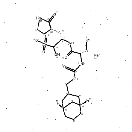 CC(C)C[C@H](NC(=O)OCC1C[C@H]2CCC[C@@H](C1)C2)C(=O)N[C@@H](C[C@@H]1CCNC1=O)C(O)S(=O)(=O)[O-].[Na+]